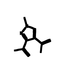 C=C(C)c1cn(C)nc1C(=C)C